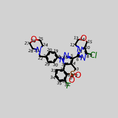 O=S1(=O)Cc2c(-c3nc(Cl)c4n3CCOC4)nn(-c3ccc(CN4CCOCC4)cc3)c2-c2cccc(F)c21